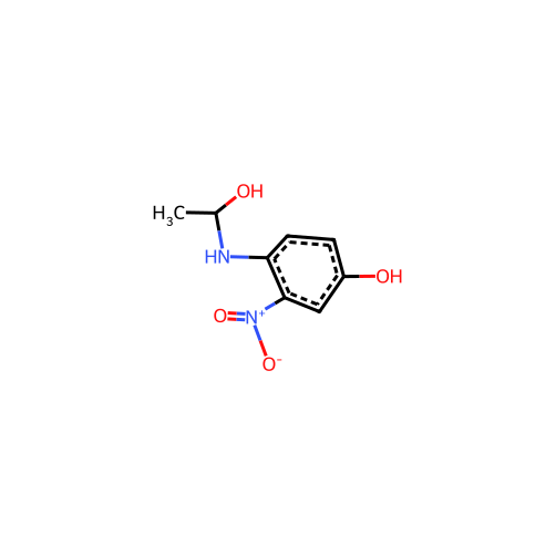 CC(O)Nc1ccc(O)cc1[N+](=O)[O-]